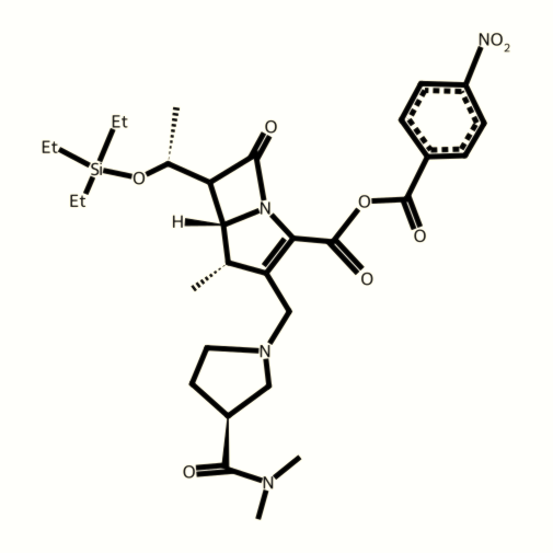 CC[Si](CC)(CC)O[C@H](C)C1C(=O)N2C(C(=O)OC(=O)c3ccc([N+](=O)[O-])cc3)=C(CN3CC[C@H](C(=O)N(C)C)C3)[C@H](C)[C@H]12